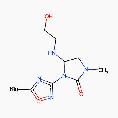 CN1CC(NCCO)N(c2noc(C(C)(C)C)n2)C1=O